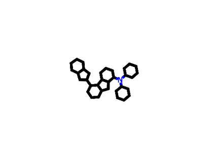 C1CCC(N(C2CCCCC2)C2CCCC3C2CC2CCCC(C4CC5CCCCC5C4)C23)CC1